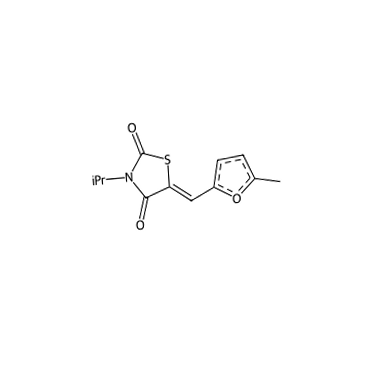 Cc1ccc(/C=C2\SC(=O)N(C(C)C)C2=O)o1